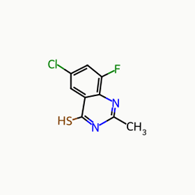 Cc1nc(S)c2cc(Cl)cc(F)c2n1